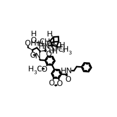 COc1c(CN2O[C@@H](CO)[C@H]([C@H](C)O)[C@H]2C(=O)N[C@H]2C[C@H]3C[C@@H]([C@@H]2C)C3(C)C)cccc1-c1cc2c(c(C(=O)NCCc3ccccc3)c1)OCO2